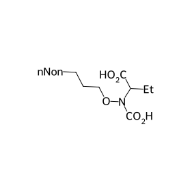 CCCCCCCCCCCCON(C(=O)O)C(CC)C(=O)O